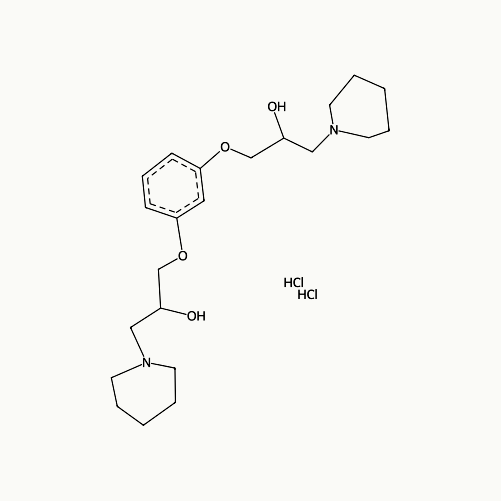 Cl.Cl.OC(COc1cccc(OCC(O)CN2CCCCC2)c1)CN1CCCCC1